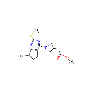 COC(=O)CC1CN(c2nc(SC)nc3c2CCC3C)C1